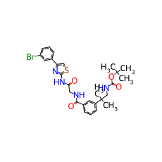 CC(C)(C)OC(=O)NCC(C)(C)c1cccc(C(=O)NCC(=O)Nc2nc(-c3cccc(Br)c3)cs2)c1